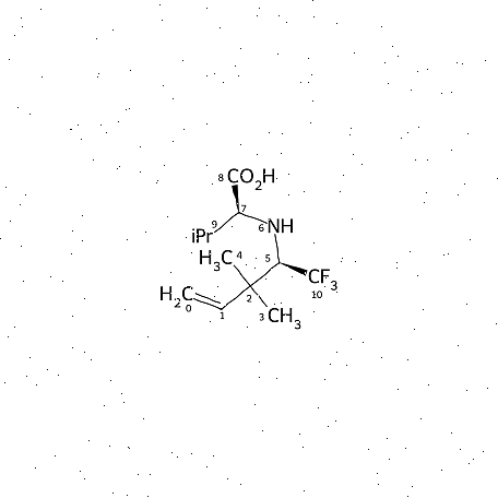 C=CC(C)(C)[C@@H](N[C@H](C(=O)O)C(C)C)C(F)(F)F